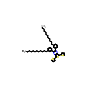 CCCCCCCCCCCCc1cccc(-c2nc3c(-c4cccs4)sc(-c4cccs4)c3nc2-c2cccc(CCCCCCCCCCCC)c2)c1